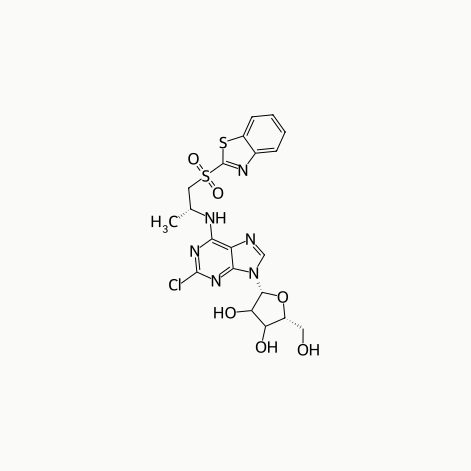 C[C@H](CS(=O)(=O)c1nc2ccccc2s1)Nc1nc(Cl)nc2c1ncn2[C@@H]1O[C@H](CO)C(O)C1O